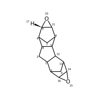 C1C2C3CC4C(C5CC4[C@@H]4OC54)C3C1C1OC21